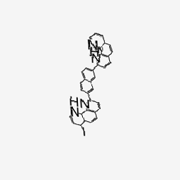 IC1C=CNC2c3nc(-c4ccc5ccc(-c6ccc7c(n6)[C@@H]6N=CC=CC6C=C7)cc5c4)ccc3C=CC12